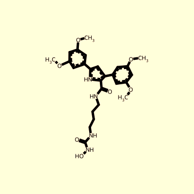 COc1cc(OC)cc(-c2cc(-c3cc(OC)cc(OC)c3)c(C(=O)NCCCCNC(=O)NO)[nH]2)c1